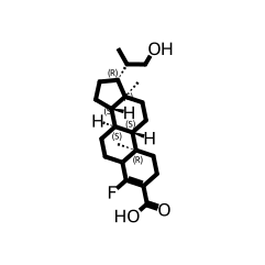 CC(CO)[C@H]1CC[C@H]2[C@@H]3CCC4C(F)=C(C(=O)O)CC[C@]4(C)[C@H]3CC[C@]12C